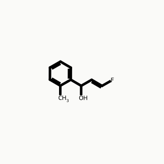 Cc1ccccc1C(O)C=CF